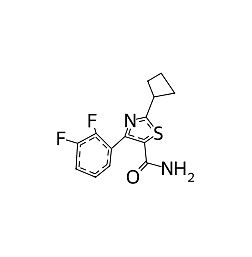 NC(=O)c1sc(C2CCC2)nc1-c1cccc(F)c1F